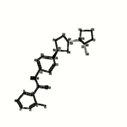 Cc1ccccc1C(=O)Nc1ccc([C@H]2CC[C@H](N3CCC[C@@H]3C)C2)cc1